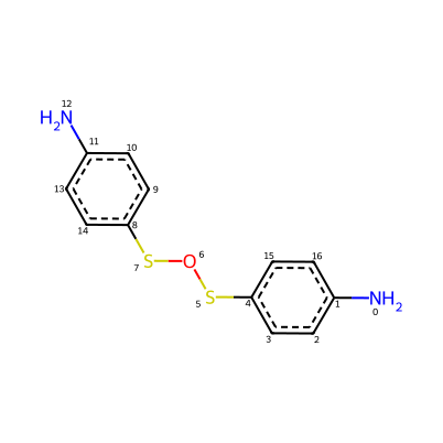 Nc1ccc(SOSc2ccc(N)cc2)cc1